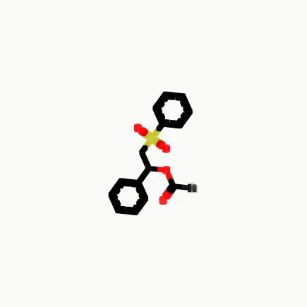 CCC(=O)OC(CS(=O)(=O)c1ccccc1)c1ccccc1